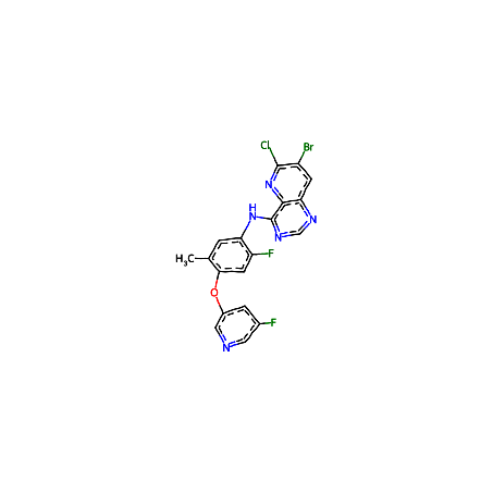 Cc1cc(Nc2ncnc3cc(Br)c(Cl)nc23)c(F)cc1Oc1cncc(F)c1